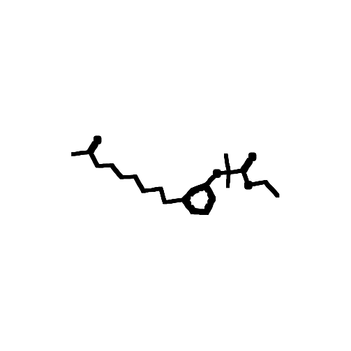 CCOC(=O)C(C)(C)Oc1cccc(CCCCCCCC(C)=O)c1